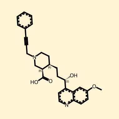 COc1ccc2nccc([C@@H](O)CC[C@@H]3CCN(CC#Cc4ccccc4)C[C@@H]3C(=O)O)c2c1